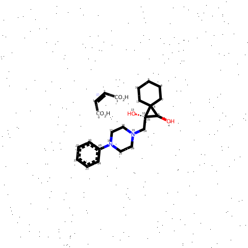 O=C(O)/C=C\C(=O)O.OC1C2(CCCCC2)[C@]1(O)CN1CCN(c2ccccc2)CC1